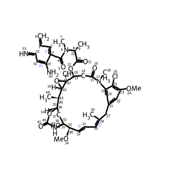 C=C/C=C(C(=O)N(C)[C@@H](C)C(=O)O[C@H]1CC(=O)N(C)c2cc(cc(OC)c2Cl)C/C(C)=C/C=C/[C@@H](OC)[C@@]2(O)C[C@H](OC(=O)N2)[C@@H](C)[C@@H]2O[C@@]12C)\C(N)=C/C=N